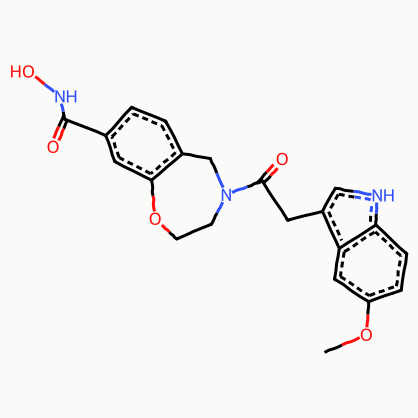 COc1ccc2[nH]cc(CC(=O)N3CCOc4cc(C(=O)NO)ccc4C3)c2c1